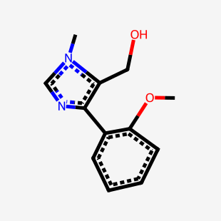 COc1ccccc1-c1ncn(C)c1CO